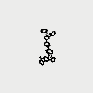 CC1(C)c2ccccc2-c2cc3c4ccccc4n(-c4ccc(-c5ccc(-c6ccc7c(c6)c6ccccc6n7-c6ccccc6)cc5)cc4)c3cc21